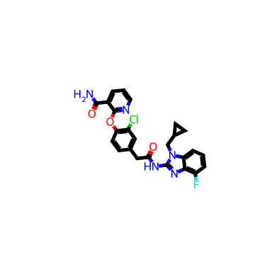 NC(=O)c1cccnc1Oc1ccc(CC(=O)Nc2nc3c(F)cccc3n2CC2CC2)cc1Cl